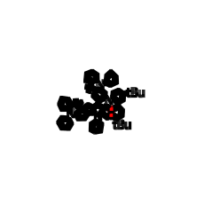 Cc1cc2c3c(c1)N(c1ccc(C(C)(C)C)cc1-c1ccc(C(C)(C)C)cc1)c1cc4c(cc1C3C1=C(c3ccc5c(c3C1)C(C)(C)c1ccccc1N5c1ccccc1)N2c1ccccc1)C(C)(C)c1ccccc1N4c1ccccc1